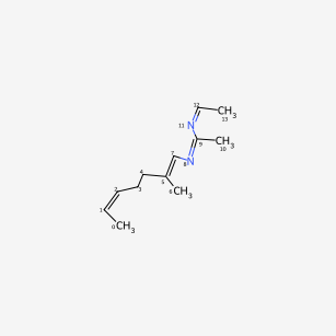 C/C=C\CC/C(C)=C/N=C(C)\N=C/C